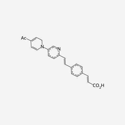 CC(=O)C1=CCN(c2ccc(C=Cc3ccc(/C=C/C(=O)O)cc3)nc2)C=C1